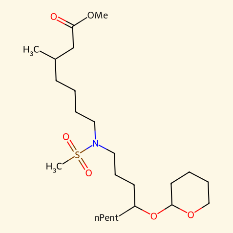 CCCCCC(CCCN(CCCCC(C)CC(=O)OC)S(C)(=O)=O)OC1CCCCO1